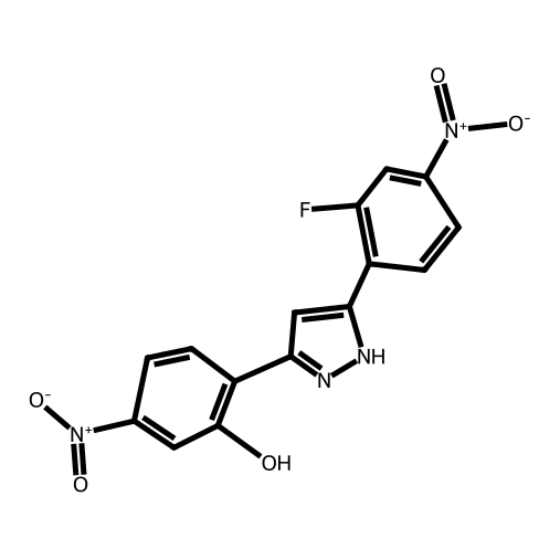 O=[N+]([O-])c1ccc(-c2cc(-c3ccc([N+](=O)[O-])cc3F)[nH]n2)c(O)c1